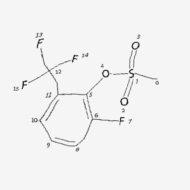 CS(=O)(=O)Oc1c(F)cccc1C(F)(F)F